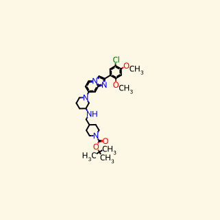 COc1cc(OC)c(-c2cn3ccc(N4CCCC(NCC5CCN(C(=O)OC(C)(C)C)CC5)C4)cc3n2)cc1Cl